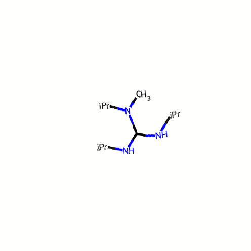 CC(C)NC(NC(C)C)N(C)C(C)C